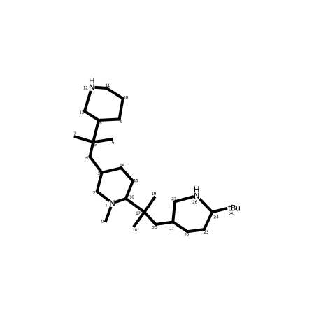 CN1CC(CC(C)(C)C2CCCNC2)CCC1C(C)(C)CC1CCC(C(C)(C)C)NC1